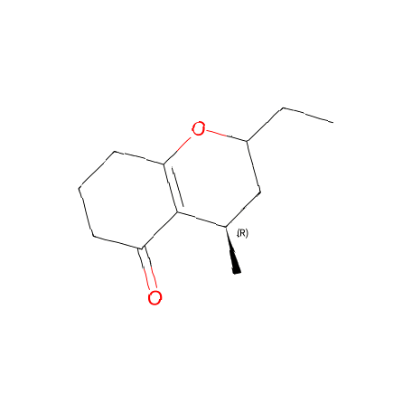 CCC1C[C@@H](C)C2=C(CCCC2=O)O1